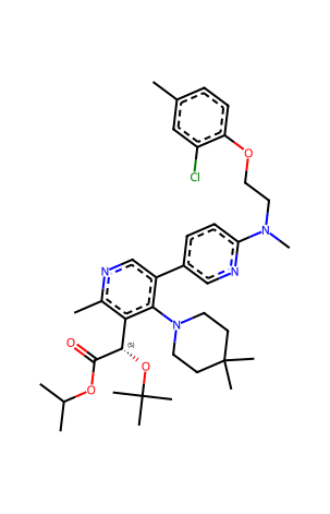 Cc1ccc(OCCN(C)c2ccc(-c3cnc(C)c([C@H](OC(C)(C)C)C(=O)OC(C)C)c3N3CCC(C)(C)CC3)cn2)c(Cl)c1